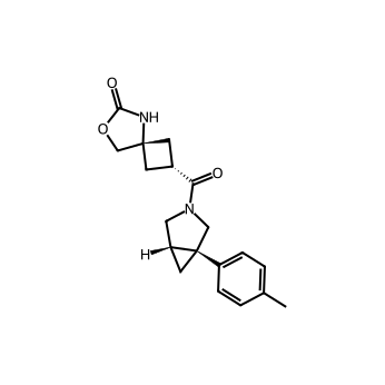 Cc1ccc([C@@]23C[C@@H]2CN(C(=O)[C@H]2C[C@]4(COC(=O)N4)C2)C3)cc1